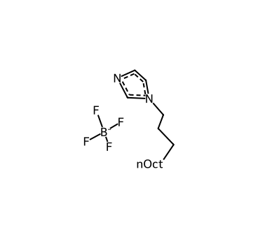 CCCCCCCCCCCn1ccnc1.F[B-](F)(F)F